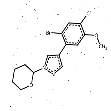 COc1cc(-c2cnn(C3CCCCO3)c2)c(Br)cc1Cl